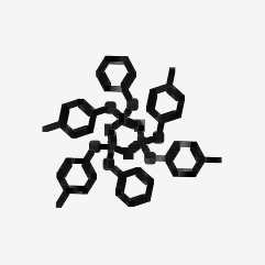 Cc1ccc(OP2(Oc3ccccc3)=NP(Oc3ccccc3)(Oc3ccc(C)cc3)=NP(Oc3ccc(C)cc3)(Oc3ccc(C)cc3)=N2)cc1